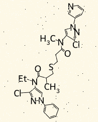 CCN(C(=O)C(C)CSCCC(=O)N(C)c1cn(-c2cccnc2)nc1Cl)c1cn(-c2ccccc2)nc1Cl